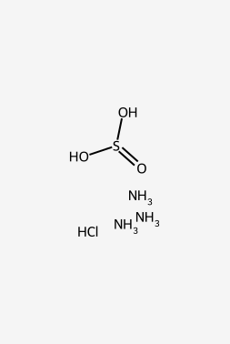 Cl.N.N.N.O=S(O)O